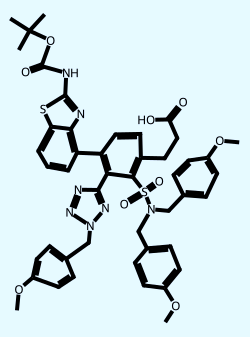 COc1ccc(CN(Cc2ccc(OC)cc2)S(=O)(=O)c2c(CCC(=O)O)ccc(-c3cccc4sc(NC(=O)OC(C)(C)C)nc34)c2-c2nnn(Cc3ccc(OC)cc3)n2)cc1